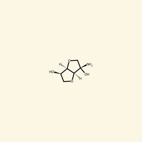 N[C@]1(O)CO[C@@H]2[C@H](O)CO[C@@H]21